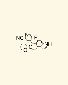 C=Cc1c(C(OC2CCCCO2)c2ccnc(C#N)c2)c(F)cc2[nH]ccc12